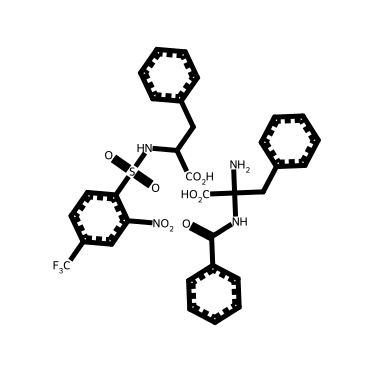 NC(Cc1ccccc1)(NC(=O)c1ccccc1)C(=O)O.O=C(O)C(Cc1ccccc1)NS(=O)(=O)c1ccc(C(F)(F)F)cc1[N+](=O)[O-]